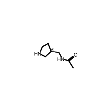 CC(=O)NC[C@@H]1CCNC1